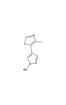 Cc1ncsc1-c1cnn(C(C)(C)C)c1